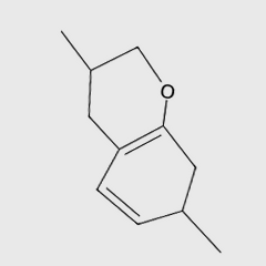 CC1C=CC2=C(C1)OCC(C)C2